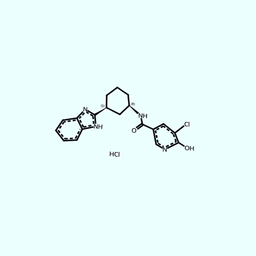 Cl.O=C(N[C@@H]1CCC[C@H](c2nc3ccccc3[nH]2)C1)c1cnc(O)c(Cl)c1